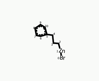 [Br][Zn][CH2]CCc1ccccc1